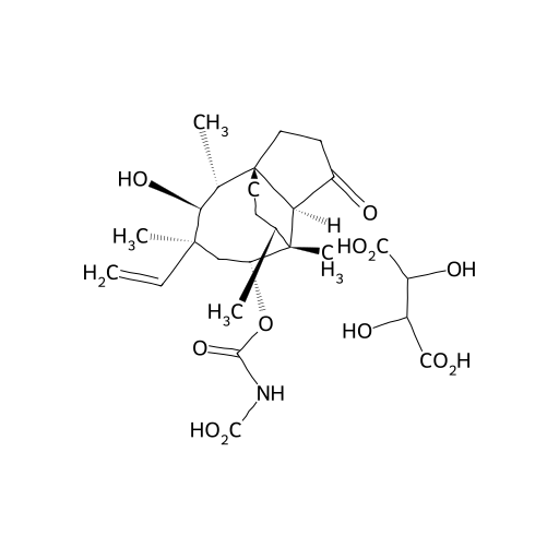 C=C[C@]1(C)C[C@@H](OC(=O)NC(=O)O)[C@]2(C)[C@H](C)CC[C@]3(CCC(=O)[C@H]32)[C@@H](C)[C@@H]1O.O=C(O)C(O)C(O)C(=O)O